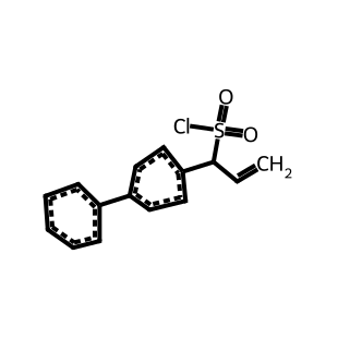 C=CC(c1ccc(-c2ccccc2)cc1)S(=O)(=O)Cl